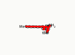 COCCOCCOCCOCCOCCOCCOCCOCCOCCOCCOCCN(CCC(=O)N[C@H](C(=O)N[C@@H](CCCNC(N)=O)C(=O)Nc1ccc(COC(=O)C(C)(C)C)cc1)C(C)C)C(=O)CN1C(=O)C=CC1=O